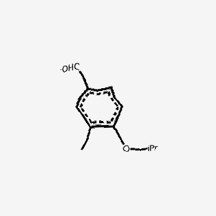 Cc1cc([C]=O)ccc1OC(C)C